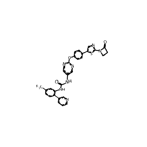 O=C(Nc1cnc(Oc2ccc(-c3cnc(N4CCC4=O)s3)cc2)nc1)Nc1cc(C(F)(F)F)ccc1-c1cccnc1